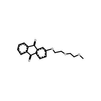 COCCOCCOc1ccc2c(c1)C(=O)c1ccccc1C2=O